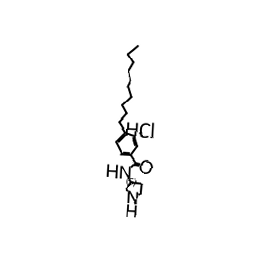 CCCCCCCCCCc1ccc(C(=O)N[C@H]2CCNC2)cc1.Cl